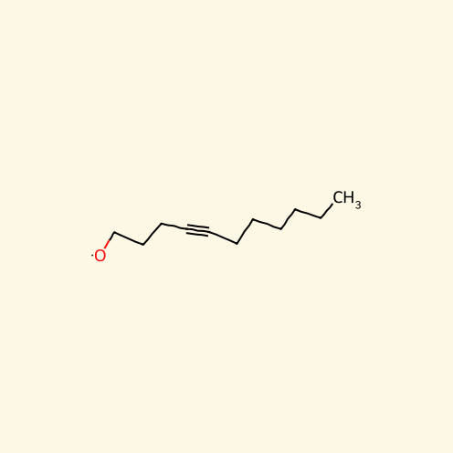 CCCCCCC#CCCC[O]